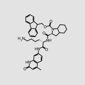 Cc1cc(=O)[nH]c2cc(NC(=O)[C@H](CCCCN)NC(=O)[C@@H]3CC4CCCCC4N3C(=O)OCC3c4ccccc4-c4ccccc43)ccc12